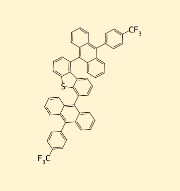 FC(F)(F)c1ccc(-c2c3ccccc3c(-c3cccc4c3sc3cccc(-c5c6ccccc6c(-c6ccc(C(F)(F)F)cc6)c6ccccc56)c34)c3ccccc23)cc1